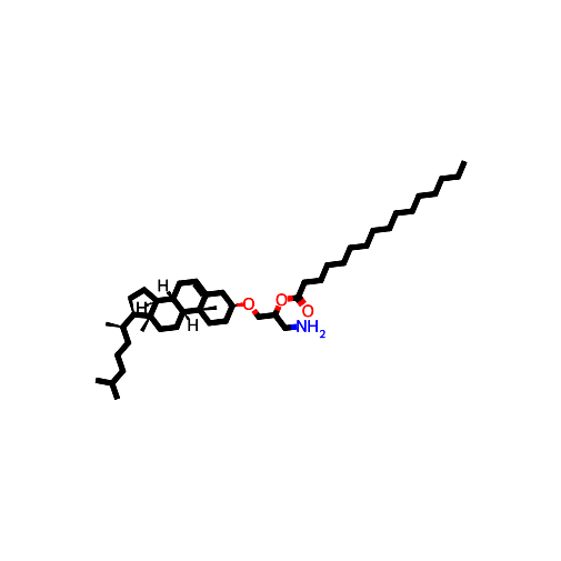 CCCCCCCCCCCCCCCC(=O)OC(CN)CO[C@H]1CC[C@@]2(C)C(=CC[C@H]3[C@@H]4CC[C@H]([C@H](C)CCCC(C)C)[C@@]4(C)CC[C@@H]32)C1